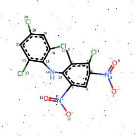 Cc1c(Cl)c([N+](=O)[O-])cc([N+](=O)[O-])c1Nc1c(Cl)cc(Cl)cc1Cl